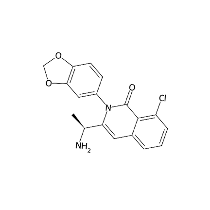 C[C@H](N)c1cc2cccc(Cl)c2c(=O)n1-c1ccc2c(c1)OCO2